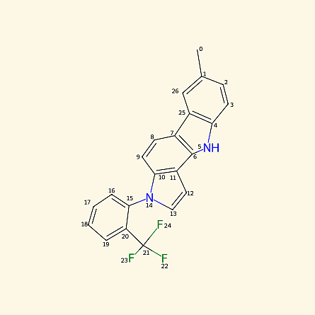 Cc1ccc2[nH]c3c(ccc4c3ccn4-c3ccccc3C(F)(F)F)c2c1